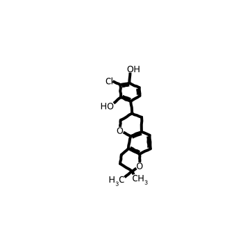 CC1(C)CCc2c(ccc3c2OCC(c2ccc(O)c(Cl)c2O)C3)O1